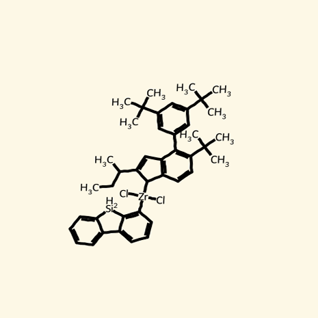 CCC(C)C1=Cc2c(ccc(C(C)(C)C)c2-c2cc(C(C)(C)C)cc(C(C)(C)C)c2)[CH]1[Zr]([Cl])([Cl])[c]1cccc2c1[SiH2]c1ccccc1-2